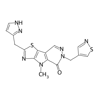 Cn1c2nc(Cc3cc[nH]n3)sc2c2cnn(Cc3cnsc3)c(=O)c21